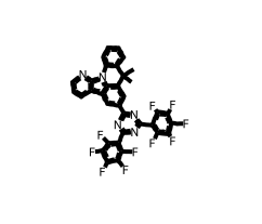 CC1(C)c2ccccc2-n2c3ncccc3c3cc(-c4nc(-c5c(F)c(F)c(F)c(F)c5F)nc(-c5c(F)c(F)c(F)c(F)c5F)n4)cc1c32